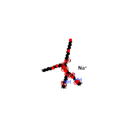 CCCCCCCCCCCCCC(=O)OC[C@H](COP(=O)([O-])OCC(COC(=O)CCCNC(=O)OC(C)(C)C)OC(=O)CCCNC(=O)OC(C)(C)C)OC(=O)CCCCCCCCCCCCC.[Na+]